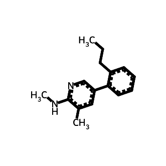 CCCc1ccccc1-c1cnc(NC)c(C)c1